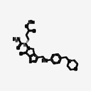 CC(C)(C)OC(=O)CC[C@@H](C(N)=O)N1Cc2c(CNc3ccc(CN4CCOCC4)cc3)csc2C1=O